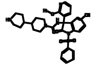 CCOc1ncccc1C1(NC(=O)N2CCC(C3CCNCC3)CC2)C(=O)N(S(=O)(=O)c2ccccc2)c2ccc(C#N)cc21